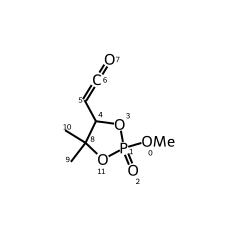 COP1(=O)OC(C=C=O)C(C)(C)O1